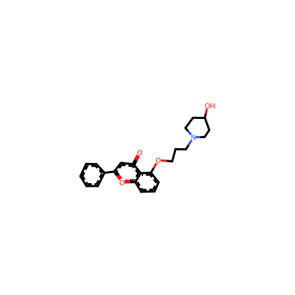 O=c1cc(-c2ccccc2)oc2cccc(OCCCN3CCC(O)CC3)c12